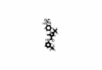 Cc1c(C(=O)Nc2cccc(C(C)(F)F)c2)cc(C(C)(C)C)n1[C@H]1CC[C@H](NS(C)(=O)=O)CC1